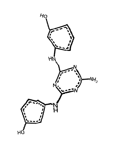 Nc1nc(Nc2cccc(O)c2)nc(Nc2cccc(O)c2)n1